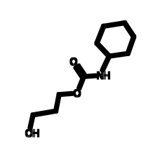 O=C(NC1CCCCC1)OCCCO